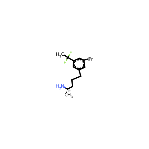 CC(C)c1cc(CCC[C@H](C)N)cc(C(C)(F)F)c1